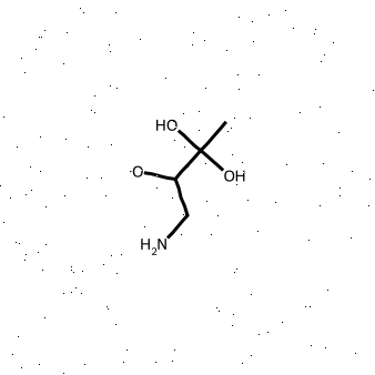 CC(O)(O)C([O])CN